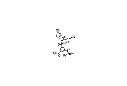 CCCN(CCC)C(=O)c1cc(C(N)=O)cc(C(=O)NC(Cc2ccc(O)cc2)C(O)C(O)CCC#N)c1